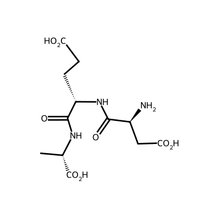 C[C@H](NC(=O)[C@H](CCC(=O)O)NC(=O)[C@@H](N)CC(=O)O)C(=O)O